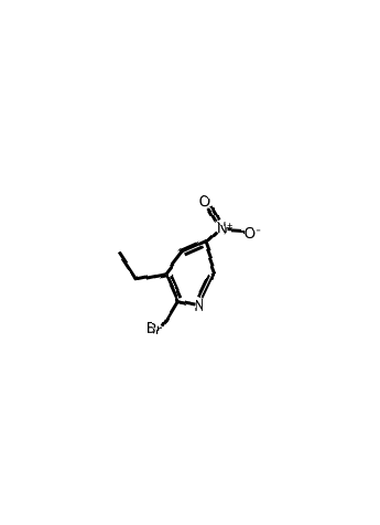 CCc1cc([N+](=O)[O-])cnc1Br